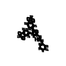 c1ccc(CNCc2cc(-c3ccc4c(c3)OCO4)c(-c3ccc4c(c3)OCO4)o2)cc1